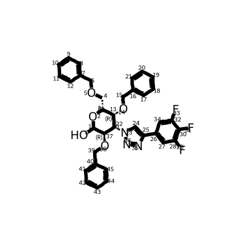 OC1O[C@H](COCc2ccccc2)[C@H](OCc2ccccc2)[C@H](n2cc(-c3cc(F)c(F)c(F)c3)nn2)[C@H]1OCc1ccccc1